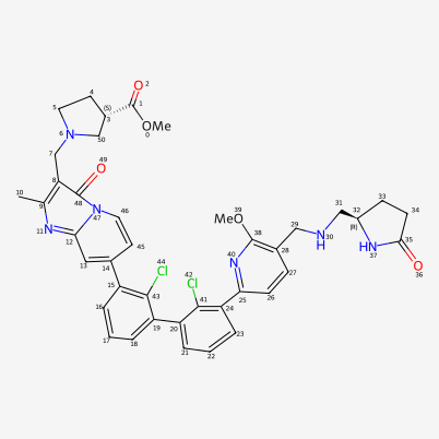 COC(=O)[C@H]1CCN(Cc2c(C)nc3cc(-c4cccc(-c5cccc(-c6ccc(CNC[C@H]7CCC(=O)N7)c(OC)n6)c5Cl)c4Cl)ccn3c2=O)C1